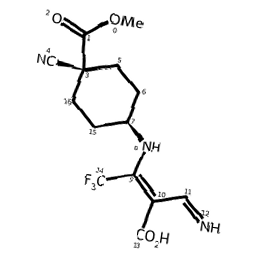 COC(=O)[C@]1(C#N)CC[C@@H](N/C(=C(\C=N)C(=O)O)C(F)(F)F)CC1